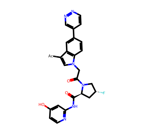 CC(=O)c1cn(CC(=O)N2C[C@H](F)C[C@H]2C(=O)Nc2cc(O)ccn2)c2ccc(-c3ccnnc3)cc12